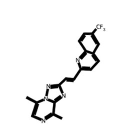 Cc1ncc(C)n2nc(C=Cc3ccc4cc(C(F)(F)F)ccc4n3)nc12